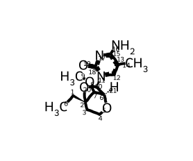 CC[C@]12CCO[C@@H](C1OC)[C@H](n1cc(C)c(N)nc1=O)O2